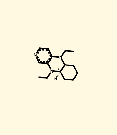 CCN1c2ccncc2N(CC)[C@@H]2CCCCC21